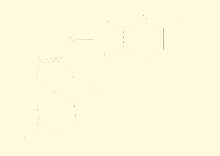 CCC1CC[NH+]([O-])C[C@@]12CN=C(Nc1nc3ccc(OC)nc3o1)O2